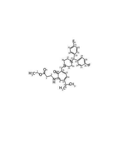 CCOC(=O)CCNc1cc(C(C)C)ccc(CN2CCN(C(c3ccc(F)cc3)c3ccc(F)cc3)CC2)c1=O